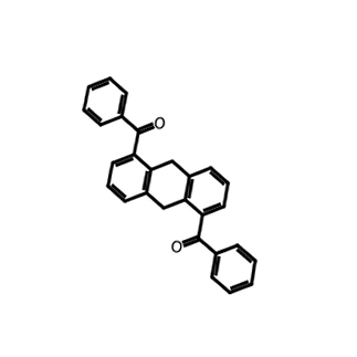 O=C(c1ccccc1)c1cccc2c1Cc1cccc(C(=O)c3ccccc3)c1C2